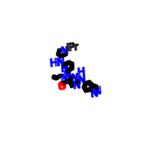 C=CCn1c(=O)c2cnc(Nc3ccc4c(cnn4C)c3)nc2n1-c1cccc(N[C@@H]2CCN(C(C)C)C2)n1